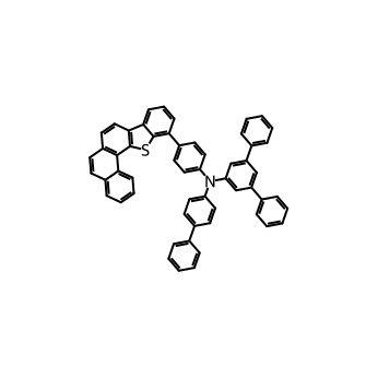 c1ccc(-c2ccc(N(c3ccc(-c4cccc5c4sc4c5ccc5ccc6ccccc6c54)cc3)c3cc(-c4ccccc4)cc(-c4ccccc4)c3)cc2)cc1